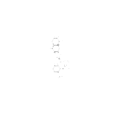 COc1cccc2c1OC1(CCCC1)CC2NCc1ccc2ccccc2c1